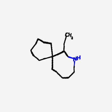 CC1NCCCC12CCCC2